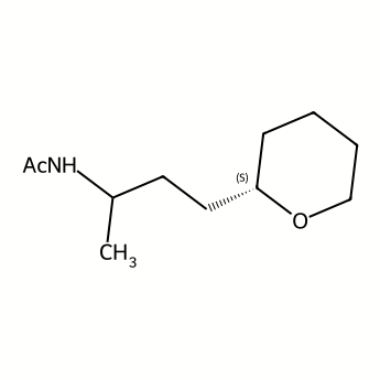 CC(=O)NC(C)CC[C@@H]1CCCCO1